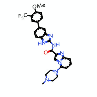 COc1ccc(-c2ccc3[nH]c(NC(=O)c4cn5c(N6CCN(C)CC6)cccc5n4)nc3c2)cc1C(F)(F)F